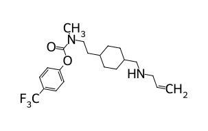 C=CCNCC1CCC(CCN(C)C(=O)Oc2ccc(C(F)(F)F)cc2)CC1